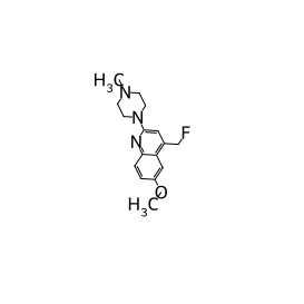 COc1ccc2nc(N3CCN(C)CC3)cc(CF)c2c1